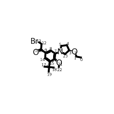 CCO[C@@H]1CCN(c2cc(C(=O)CBr)cc(C(C)(C)C)c2OC)C1